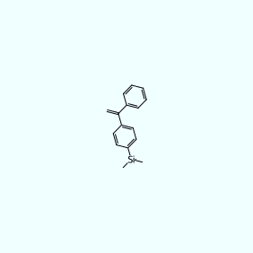 C=C(c1ccccc1)c1ccc([Si](C)C)cc1